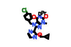 CCCn1c(=O)c2c(nc(-c3nccnc3OCC3CC3)n2Cc2ccc(Cl)cc2)n(C)c1=O